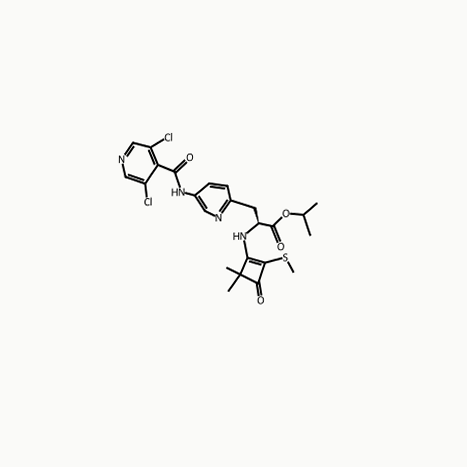 CSC1=C(N[C@@H](Cc2ccc(NC(=O)c3c(Cl)cncc3Cl)cn2)C(=O)OC(C)C)C(C)(C)C1=O